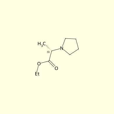 CCOC(=O)[C@H](C)N1CCCC1